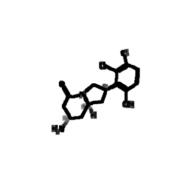 N[C@@H]1CC(=O)N2C[C@@H](c3c(O)ccc(Cl)c3Cl)C[C@H]2C1